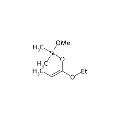 CC=C(OCC)O[Si](C)(C)OC